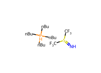 CCCC[PH](CCCC)(CCCC)CCCC.N=S(C(F)(F)F)C(F)(F)F